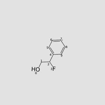 OCC(F)c1cc[c]cc1